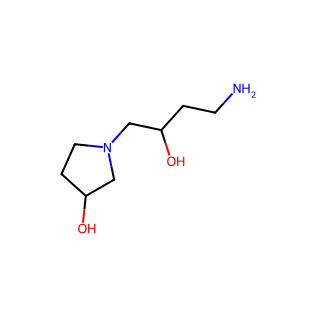 NCCC(O)CN1CCC(O)C1